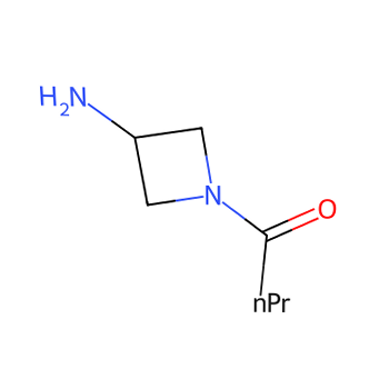 CCCC(=O)N1CC(N)C1